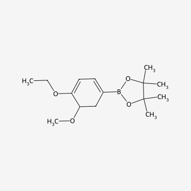 CCOC1=CC=C(B2OC(C)(C)C(C)(C)O2)CC1OC